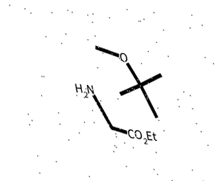 CCOC(=O)CN.COC(C)(C)C